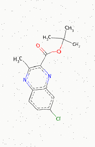 Cc1nc2ccc(Cl)cc2nc1C(=O)OC(C)(C)C